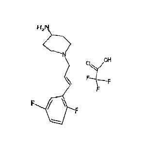 NC1CCN(CC=Cc2cc(F)ccc2F)CC1.O=C(O)C(F)(F)F